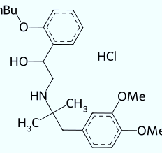 CCCCOc1ccccc1C(O)CNC(C)(C)Cc1ccc(OC)c(OC)c1.Cl